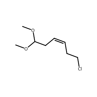 COC(C/C=C\CCCl)OC